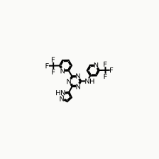 FC(F)(F)c1cc(Nc2nc(-c3cccc(C(F)(F)F)n3)nc(-c3ccn[nH]3)n2)ccn1